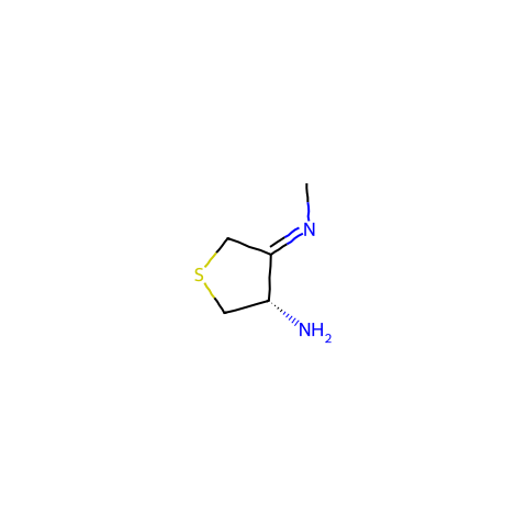 C/N=C1\CSC[C@H]1N